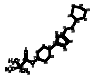 CC(C)(C)C(=O)ON1CCC(c2nc(CSC3CCCCC3)cs2)CC1